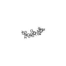 COc1cc(C)[nH]c(=O)c1N(C)C(=O)c1cc(Cl)c2c(c1C)OC(C)([C@@H]1CC[C@@H](NC(=O)OC(C)(C)C)CO1)O2